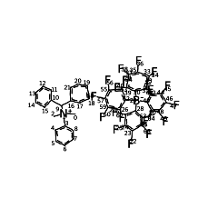 C[N+](C)(c1ccccc1)C(c1ccccc1)c1ccccc1.Fc1c(F)c(F)c([B-](c2c(F)c(F)c(F)c(F)c2F)(c2c(F)c(F)c(F)c(F)c2F)c2c(F)c(F)c(F)c(F)c2F)c(F)c1F